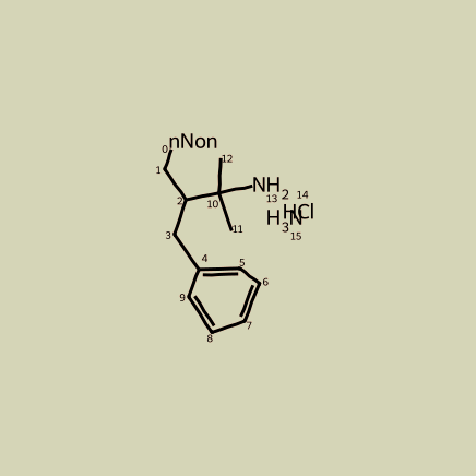 CCCCCCCCCCC(Cc1ccccc1)C(C)(C)N.Cl.N